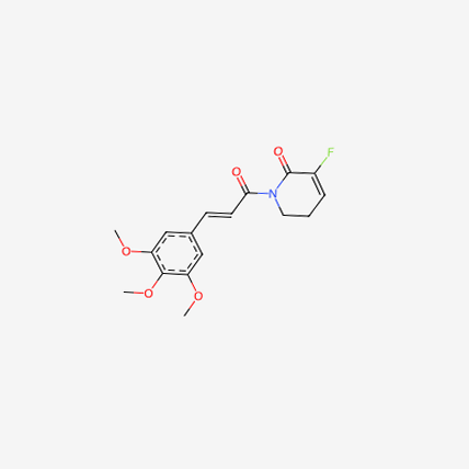 COc1cc(/C=C/C(=O)N2CCC=C(F)C2=O)cc(OC)c1OC